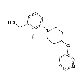 OCc1cccc(N2CCC(Oc3cccnc3)CC2)c1F